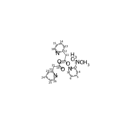 CN(C)c1ccccn1.O=C(Cc1ccccn1)OC(=O)Cc1ccccn1